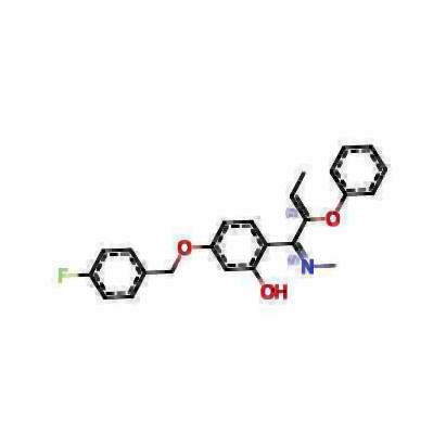 C/C=C(Oc1ccccc1)/C(=N\C)c1ccc(OCc2ccc(F)cc2)cc1O